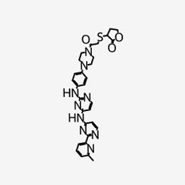 Cc1cccc(-c2nccc(Nc3ccnc(Nc4ccc(N5CCN(C(=O)CSC6CCOC6=O)CC5)cc4)n3)n2)n1